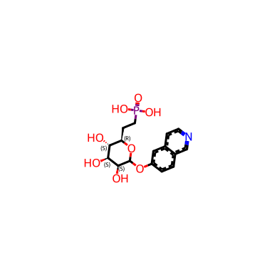 O=P(O)(O)CC[C@H]1OC(Oc2ccc3cnccc3c2)[C@@H](O)[C@@H](O)[C@@H]1O